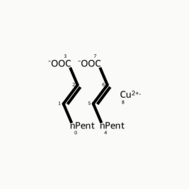 CCCCCC=CC(=O)[O-].CCCCCC=CC(=O)[O-].[Cu+2]